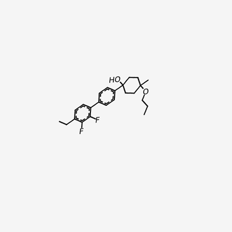 CCCOC1(C)CCC(O)(c2ccc(-c3ccc(CC)c(F)c3F)cc2)CC1